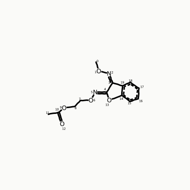 CO/N=C1\C(=N\OCCOC(C)=O)Oc2ccccc21